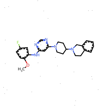 COc1ccc(F)cc1Nc1cc(N2CCC(N3CCc4ccccc4C3)CC2)ncn1